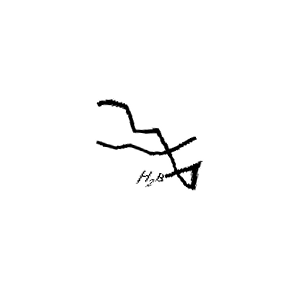 BC1(C(C)(CCCC)CCCC)CC1